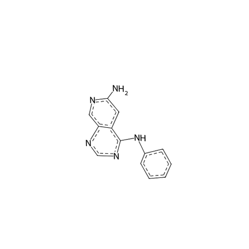 Nc1cc2c(Nc3ccccc3)ncnc2cn1